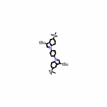 CC(C)(C)c1cn(-c2ccc(-n3cc(C(C)(C)C)c4cc([Si](C)(C)C)ccc43)cc2)c2ccc([Si](C)(C)C)cc12